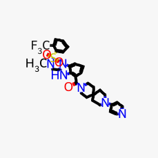 CN(Cc1nc2cccc(C(=O)N3CCC4(CC3)CCN(c3ccncc3)CC4)c2[nH]1)S(=O)(=O)c1ccccc1C(F)(F)F